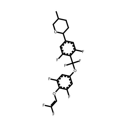 CC1CCC(c2cc(F)c(C(F)(F)Oc3cc(F)c(OC=C(F)F)c(F)c3)c(F)c2)OC1